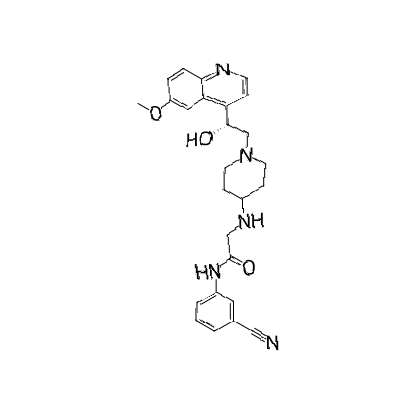 COc1ccc2nccc([C@@H](O)CN3CCC(NCC(=O)Nc4cccc(C#N)c4)CC3)c2c1